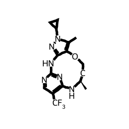 Cc1c2c(nn1C1CC1)Nc1ncc(C(F)(F)F)c(n1)N[C@H](C)CCO2